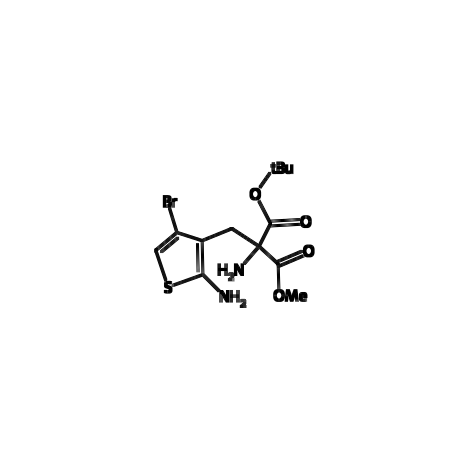 COC(=O)C(N)(Cc1c(Br)csc1N)C(=O)OC(C)(C)C